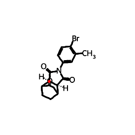 Cc1cc(N2C(=O)[C@@H]3C4CCC(CC4=O)[C@@H]3C2=O)ccc1Br